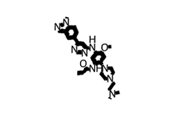 C=CC(=O)Nc1cc(Nc2cc(-c3ccc4c(cnn4C)c3)ncn2)c(OC)cc1N1CCN(CCN(C)C)CC1